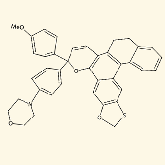 COc1ccc(C2(c3ccc(N4CCOCC4)cc3)C=Cc3c4c(c5cc6c(cc5c3O2)OCS6)-c2ccccc2CC4)cc1